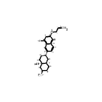 C=CCOc1cc(F)c2cc([C@@H]3CC[C@@H]4CC(CC)CCC4C3)ccc2c1